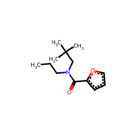 CCCN(CC(C)(C)C)C(=O)c1ccco1